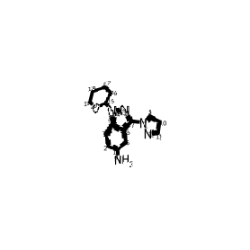 Nc1ccc2c(c1)c(-n1cccn1)nn2C1CCCCO1